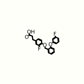 O=C(O)CCc1ccc(OCc2ccccc2Oc2cccc(F)c2)c(F)c1